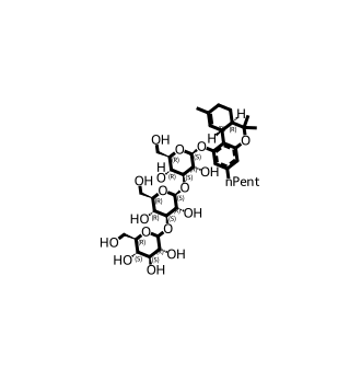 CCCCCc1cc(O[C@@H]2O[C@H](CO)[C@@H](O)[C@H](O[C@@H]3O[C@H](CO)[C@@H](O)[C@H](OC4O[C@H](CO)[C@@H](O)[C@H](O)[C@H]4O)[C@H]3O)[C@H]2O)c2c(c1)OC(C)(C)[C@@H]1CCC(C)=C[C@@H]21